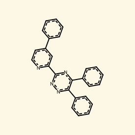 c1ccc(-c2ccnc(-c3nnc(-c4ccccc4)c(-c4ccccc4)n3)c2)cc1